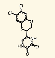 O=c1[nH]cc([C@@H]2COc3cc(Cl)c(Cl)cc3S2)[nH]c1=O